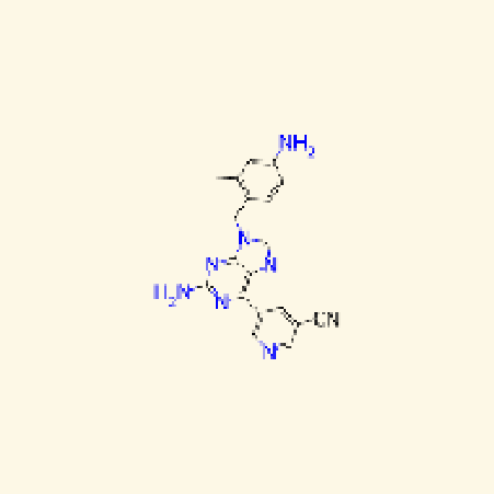 Cc1cc(N)ccc1Cn1cnc2c(-c3cncc(C#N)c3)nc(N)nc21